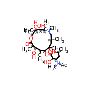 CC[C@H]1OC(=O)[C@H](C)[C@@H](O)[C@H](C)[C@@H](O[C@@H]2O[C@H](C)C[C@H](N(C)C(C)=O)[C@H]2O)C(C)(O)C[C@@H](C)CN(C)[C@H](C)[C@@H](O)[C@]1(C)O